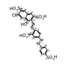 O=S(=O)(O)c1ccc(/N=N/c2ccc(/N=N/c3c(S(=O)(=O)O)cc4cc(S(=O)(=O)O)c(Cl)cc4c3O)c(S(=O)(=O)O)c2)cc1